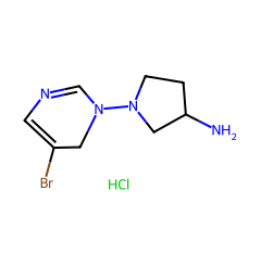 Cl.NC1CCN(N2C=NC=C(Br)C2)C1